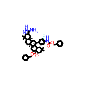 CC1(C)CC[C@]2(C(=O)OCc3ccccc3)CC[C@]3(C)C(=C(c4ccc(NC(=O)OCc5ccccc5)c(F)c4)CC4[C@@]5(C)Cc6c(n[nH]c6N)C(C)(C)C5CC[C@]43C)C2C1